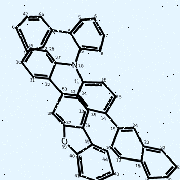 c1ccc(-c2ccccc2N(c2ccc(-c3ccc4ccccc4c3)cc2)c2ccccc2-c2ccc3c(c2)oc2ccccc23)cc1